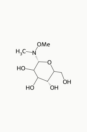 CON(C)[C@@H]1OC(CO)[C@H](O)C(O)C1O